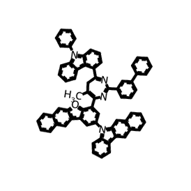 CC1=C(c2cc(-n3c4ccccc4c4cc5ccccc5cc43)cc3c2oc2cc4ccccc4cc23)N=C(c2cccc(-c3ccccc3)c2)N=C(c2cccc3c2c2ccccc2n3-c2ccccc2)C1